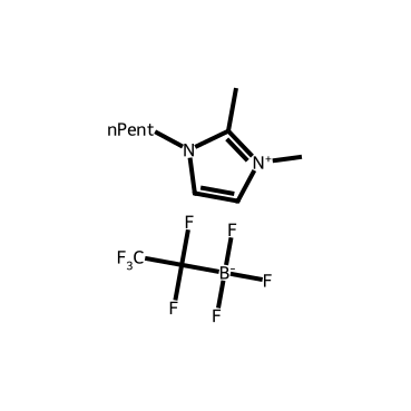 CCCCCn1cc[n+](C)c1C.F[B-](F)(F)C(F)(F)C(F)(F)F